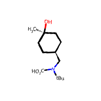 CC(C)(C)N(C[C@H]1CC[C@@](C)(O)CC1)C(=O)O